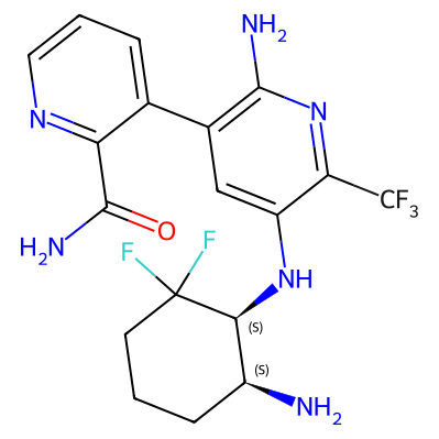 NC(=O)c1ncccc1-c1cc(N[C@H]2[C@@H](N)CCCC2(F)F)c(C(F)(F)F)nc1N